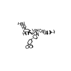 c1cc(N2CCNCC2)ccc1Nc1cc(Nc2ccc(N3CCNCC3)cc2)c2cc(-c3ccc4c(c3)OCO4)ccc2n1